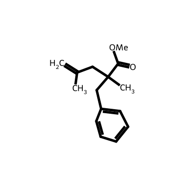 C=C(C)CC(C)(Cc1ccccc1)C(=O)OC